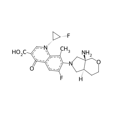 Cc1c(N2C[C@@H]3CCOC[C@@]3(N)C2)c(F)cc2c(=O)c(C(=O)O)cn([C@@H]3C[C@@H]3F)c12